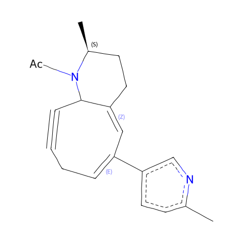 CC(=O)N1C2C#CC/C=C(c3ccc(C)nc3)\C=C/2CC[C@@H]1C